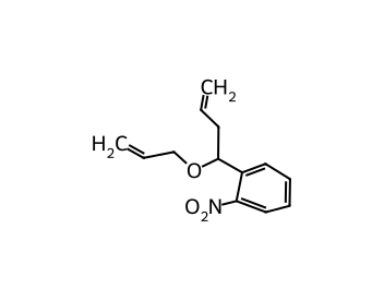 C=CCOC(CC=C)c1ccccc1[N+](=O)[O-]